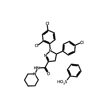 O=C(NN1CCCCC1)C1=NN(c2ccc(Cl)cc2Cl)C(c2ccc(Cl)cc2)C1.O=S(=O)(O)c1ccccc1